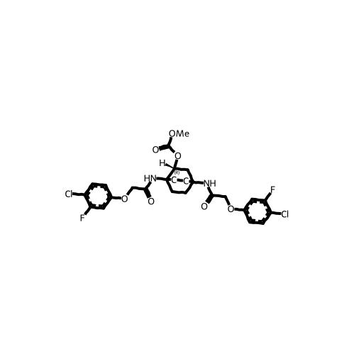 COC(=O)O[C@@H]1CC2(NC(=O)COc3ccc(Cl)c(F)c3)CCC1(NC(=O)COc1ccc(Cl)c(F)c1)CC2